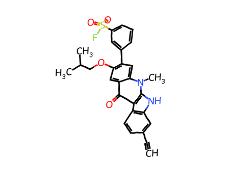 C#Cc1ccc2c(c1)[nH]c1c2c(=O)c2cc(OCC(C)C)c(-c3cccc(S(=O)(=O)F)c3)cc2n1C